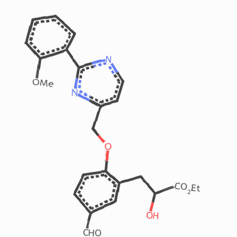 CCOC(=O)C(O)Cc1cc(C=O)ccc1OCc1ccnc(-c2ccccc2OC)n1